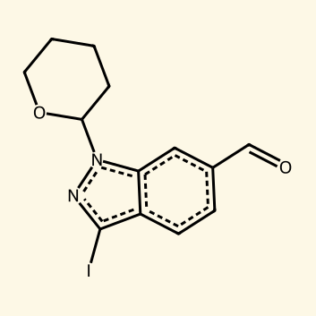 O=Cc1ccc2c(I)nn(C3CCCCO3)c2c1